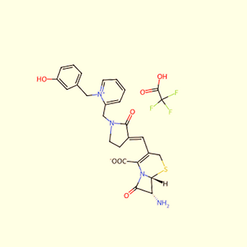 N[C@@H]1C(=O)N2C(C(=O)[O-])=C(C=C3CCN(Cc4cccc[n+]4Cc4cccc(O)c4)C3=O)CS[C@H]12.O=C(O)C(F)(F)F